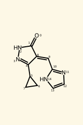 O=C1NN=C(C2CC2)C1=Cc1ncc[nH]1